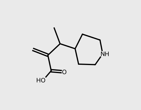 C=C(C(=O)O)C(C)C1CCNCC1